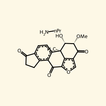 CCCN.CO[C@@H]1C(=O)c2coc3c2[C@@](C)(c2ccc4c(c2C3=O)CCC4=O)[C@@H]1O